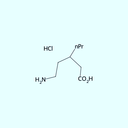 CCCC(CCN)CC(=O)O.Cl